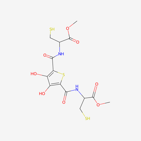 COC(=O)C(CS)NC(=O)c1sc(C(=O)NC(CS)C(=O)OC)c(O)c1O